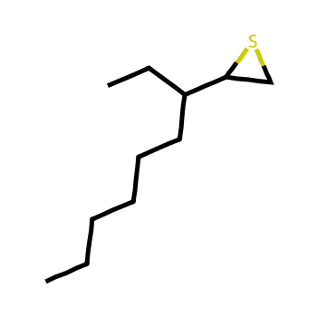 CCCCCCC(CC)C1CS1